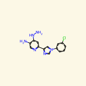 NNc1cc(-c2cn(-c3cccc(Cl)c3)cn2)ncc1N